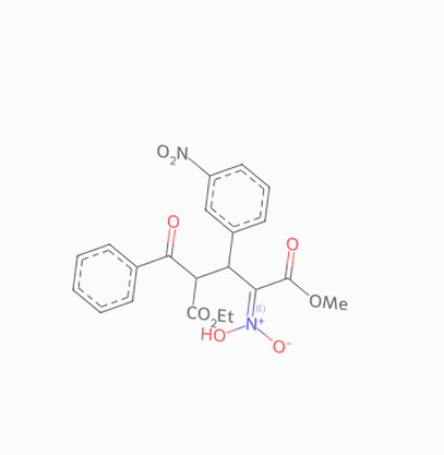 CCOC(=O)C(C(=O)c1ccccc1)C(/C(C(=O)OC)=[N+](/[O-])O)c1cccc([N+](=O)[O-])c1